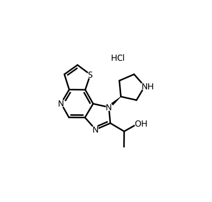 CC(O)c1nc2cnc3ccsc3c2n1[C@H]1CCNC1.Cl